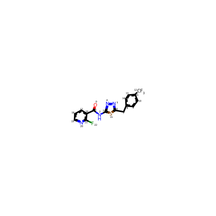 O=C(Nc1nnc(Cc2ccc(C(F)(F)F)cc2)s1)c1cccnc1F